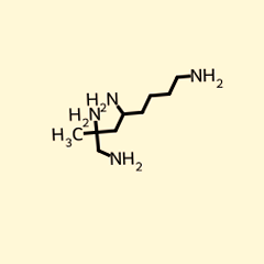 CC(N)(CN)CC(N)CCCCN